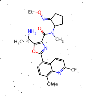 CCON=C1CCCC1N(C)C(=O)c1nc(-c2ccc(OC)c3nc(C(F)(F)F)ccc23)oc1[C@H](C)N